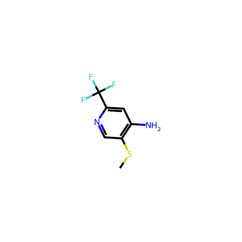 CSc1cnc(C(F)(F)F)cc1N